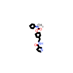 CN(C(=O)Oc1ccc(CCNC(=O)c2cccnc2)cc1)c1ccccc1